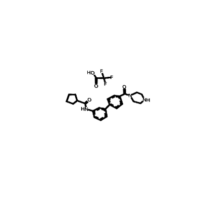 O=C(Nc1cccc(-c2ccc(C(=O)N3CCNCC3)cc2)c1)C1CCCC1.O=C(O)C(F)(F)F